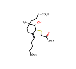 CCCCCCCCCCCCCC=C1CC[C@@](C)(CCCC(=O)O)[C@H](O)[C@H]1SCC(=O)OC